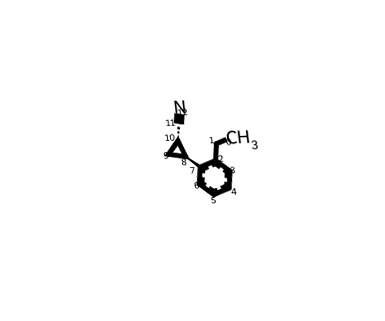 CCc1ccccc1[C@H]1C[C@@H]1C#N